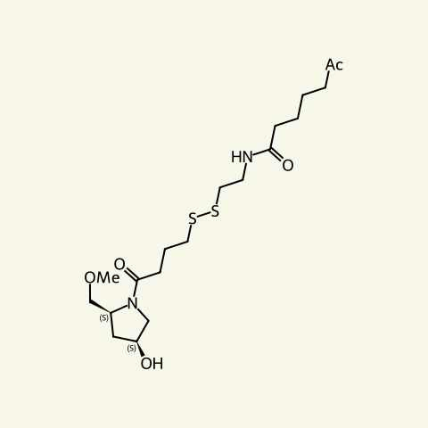 COC[C@@H]1C[C@H](O)CN1C(=O)CCCSSCCNC(=O)CCCCC(C)=O